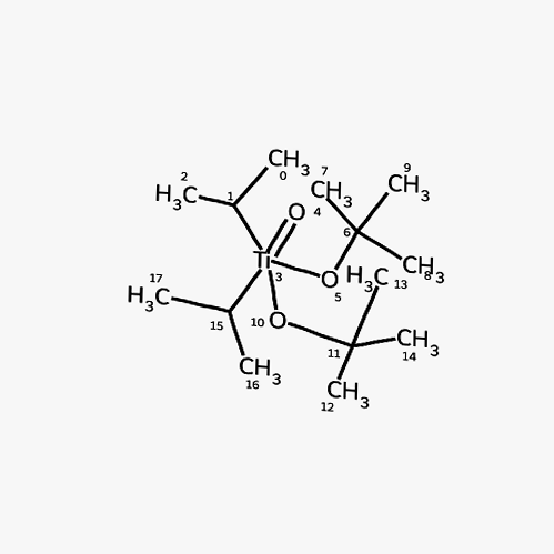 C[CH](C)[Ti](=[O])([O]C(C)(C)C)([O]C(C)(C)C)[CH](C)C